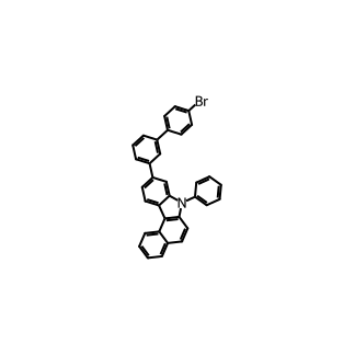 Brc1ccc(-c2cccc(-c3ccc4c5c6ccccc6ccc5n(-c5ccccc5)c4c3)c2)cc1